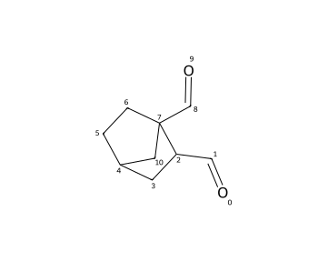 O=CC1CC2CCC1(C=O)C2